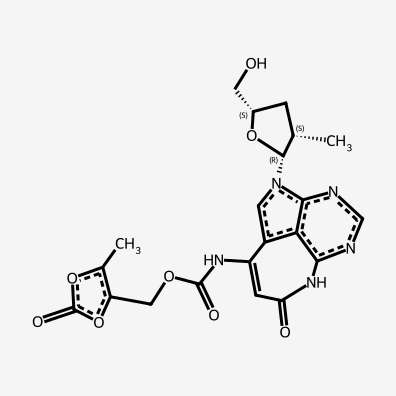 Cc1oc(=O)oc1COC(=O)NC1=CC(=O)Nc2ncnc3c2c1cn3[C@@H]1O[C@H](CO)C[C@@H]1C